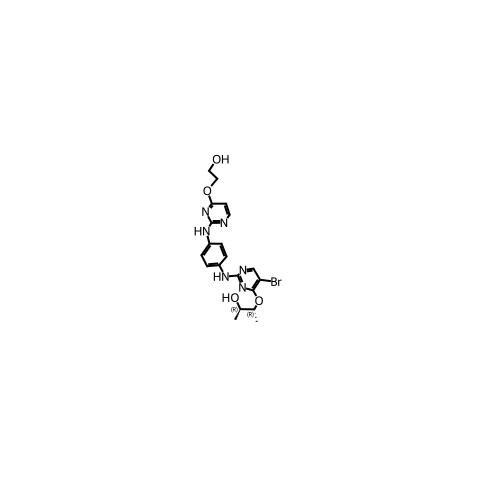 C[C@@H](O)[C@@H](C)Oc1nc(Nc2ccc(Nc3nccc(OCCO)n3)cc2)ncc1Br